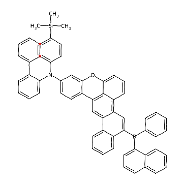 C[Si](C)(C)c1ccc(N(c2ccc3c(c2)Oc2cccc4c2c-3cc2c3ccccc3c(B(c3ccccc3)c3cccc5ccccc35)cc42)c2ccccc2-c2ccccc2)cc1